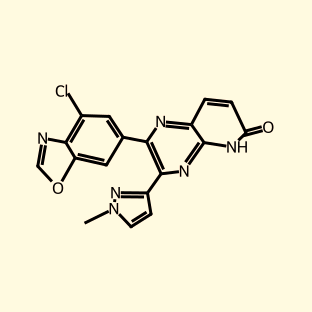 Cn1ccc(-c2nc3[nH]c(=O)ccc3nc2-c2cc(Cl)c3ncoc3c2)n1